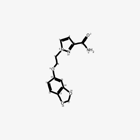 NC(=O)c1[c]cn(CCOc2ccc3c(c2)OCO3)n1